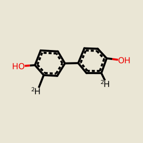 [2H]c1cc(-c2ccc(O)c([2H])c2)ccc1O